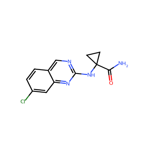 NC(=O)C1(Nc2ncc3ccc(Cl)cc3n2)CC1